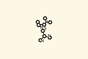 c1ccc(N(c2ccccc2)c2cc3c4c(c2)c2c5ccccc5ccc2n4-c2ccc(-c4cc(-c5ccccn5)cc(-c5ccccn5)c4)cc2S3)cc1